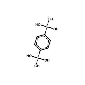 O[Si](O)(O)c1ccc([Si](O)(O)O)cc1